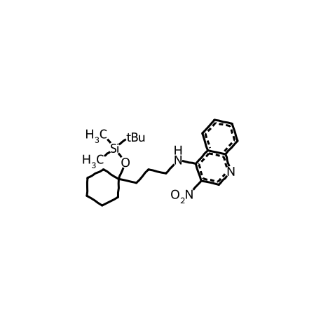 CC(C)(C)[Si](C)(C)OC1(CCCNc2c([N+](=O)[O-])cnc3ccccc23)CCCCC1